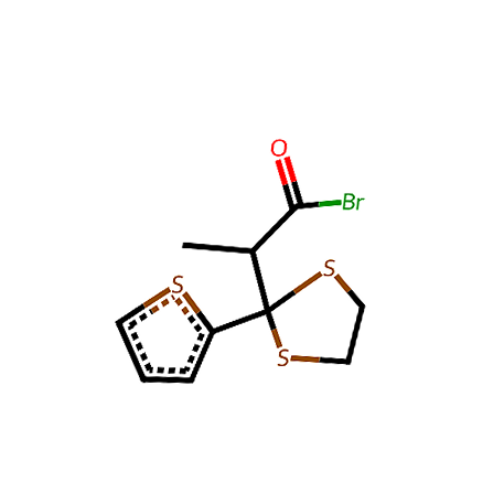 CC(C(=O)Br)C1(c2cccs2)SCCS1